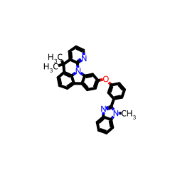 Cn1c(-c2cccc(Oc3ccc4c5cccc6c5n(c4c3)-c3ncccc3C6(C)C)c2)nc2ccccc21